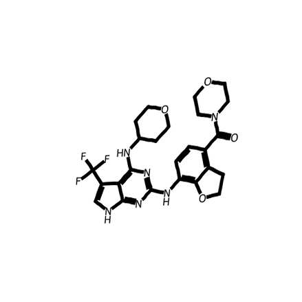 O=C(c1ccc(Nc2nc(NC3CCOCC3)c3c(C(F)(F)F)c[nH]c3n2)c2c1CCO2)N1CCOCC1